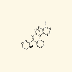 CON=C(C1=NOCCN1)c1ccccc1Oc1ncnc(F)c1F